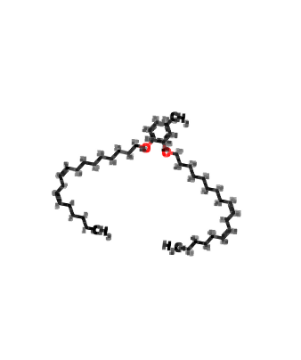 CCCCC/C=C\C/C=C\CCCCCCCCOc1ccc(C)cc1OCCCCCCCC/C=C\C/C=C\CCCCC